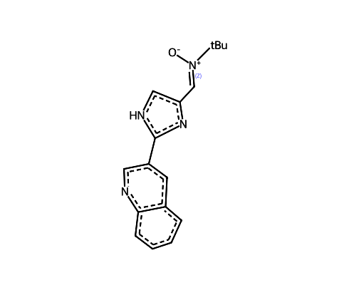 CC(C)(C)/[N+]([O-])=C/c1c[nH]c(-c2cnc3ccccc3c2)n1